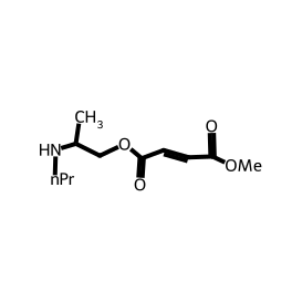 CCCNC(C)COC(=O)C=CC(=O)OC